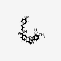 Cc1ccc(C2OC=C(CN3CCC(C(=O)NCCCN4CCC(C(C)C)CC4)CC3)N2C)cc1C